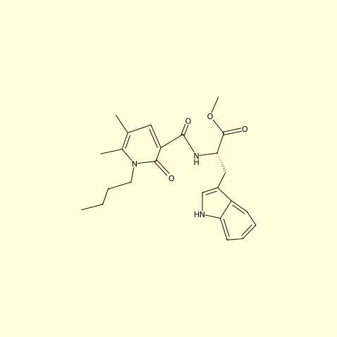 CCCCn1c(C)c(C)cc(C(=O)N[C@@H](Cc2c[nH]c3ccccc23)C(=O)OC)c1=O